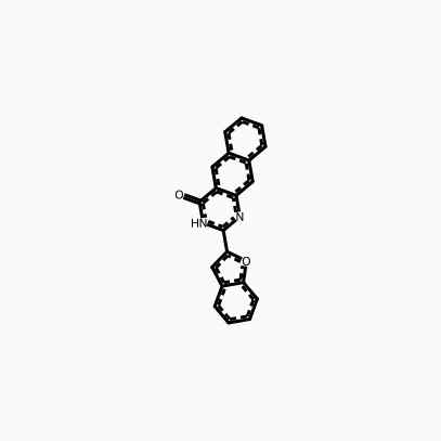 O=c1[nH]c(-c2cc3ccccc3o2)nc2cc3ccccc3cc12